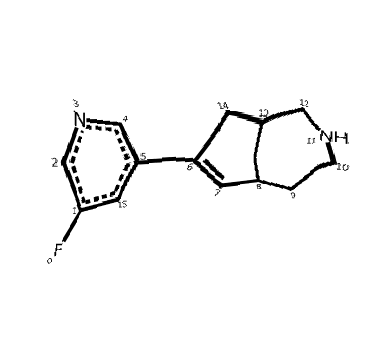 Fc1cncc(C2=CC3CCNCC3C2)c1